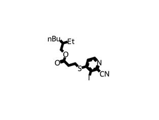 CCCCC(CC)COC(=O)CCSc1ccnc(C#N)c1I